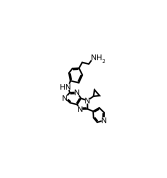 NCCc1ccc(Nc2ncc3nc(-c4ccncc4)n(C4CC4)c3n2)cc1